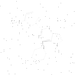 CNc1cccc(-c2nc(N3CCOCC3)c3c(ccn3C)n2)c1